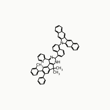 Cc1ccccc1-c1cc2c(cc1-c1ccccc1)C(C)(C)C1=C2C(c2ccccn2)=NC(c2cccc3c(-n4c5cc6ccccc6cc5c5cc6ccccc6cc54)cccc23)N1